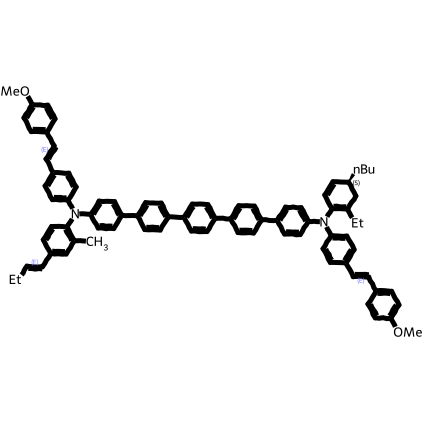 CC/C=C/c1ccc(N(c2ccc(/C=C/c3ccc(OC)cc3)cc2)c2ccc(-c3ccc(-c4ccc(-c5ccc(-c6ccc(N(C7=C(CC)C[C@H](CCCC)C=C7)c7ccc(/C=C/c8ccc(OC)cc8)cc7)cc6)cc5)cc4)cc3)cc2)c(C)c1